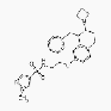 Cn1cc(S(=O)(=O)NCCOc2ccc3c(c2)C(Cc2ccccc2)C(N2CCC2)CC3)cn1